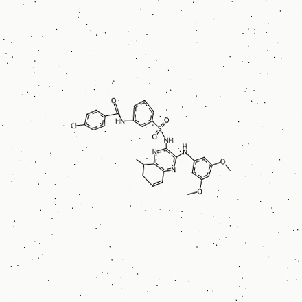 COc1cc(Nc2nc3c(nc2NS(=O)(=O)c2cccc(NC(=O)c4ccc(Cl)cc4)c2)C(C)CC=C3)cc(OC)c1